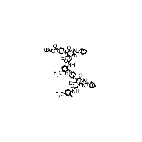 CCc1c(N2CCN(C(=O)OC(C)(C)C)CC2)c(=O)n2nc(N3CC4CC(C3)O4)nc2n1CC(=O)Nc1ccc(C(F)(F)F)cc1C.CCc1c(N2CCNCC2)c(=O)n2nc(N3CC4CC(C3)O4)nc2n1CC(=O)Nc1ccc(C(F)(F)F)cc1C